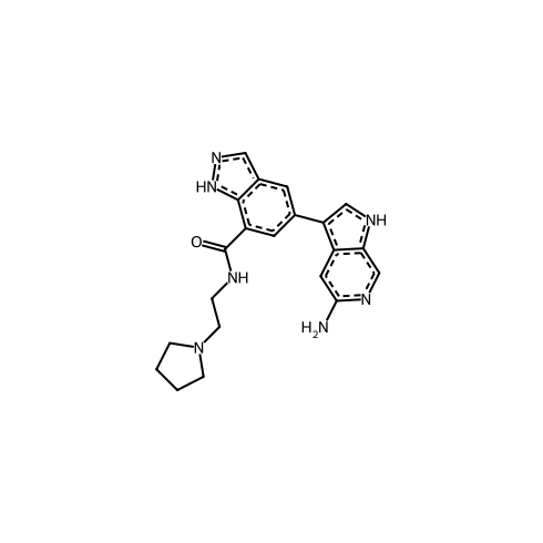 Nc1cc2c(-c3cc(C(=O)NCCN4CCCC4)c4[nH]ncc4c3)c[nH]c2cn1